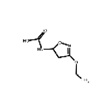 CCOC1=NOC(NC(=O)O)C1